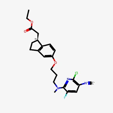 [C-]#[N+]c1cc(F)c(N(C)CCCOc2ccc3c(c2)CC[C@H]3CC(=O)OCC)nc1Cl